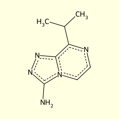 CC(C)c1nccn2c(N)nnc12